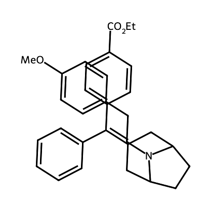 CCOC(=O)c1ccc(C(=C2CC3CCC(C2)N3CCc2ccc(OC)cc2)c2ccccc2)cc1